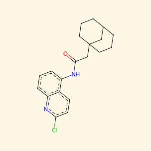 O=C(CC12CCCC(CCC1)C2)Nc1cccc2nc(Cl)ccc12